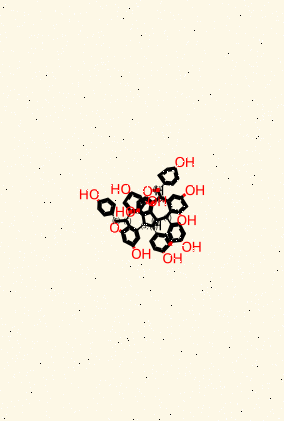 Oc1ccc([C@@H]2c3c(O)cc(O)cc3[C@H]3c4c(cc(O)c5c4[C@H]2[C@H](c2ccc(O)cc2)[C@H]5c2cc(O)cc4c2[C@H](c2cc(O)cc(O)c2)[C@@H](c2ccc(O)cc2)O4)O[C@@H]3c2ccc(O)cc2)cc1